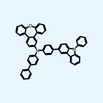 c1ccc(-c2ccc(N(c3ccc(-c4ccc5c(c4)c4ccccc4n5-c4ccccc4)cc3)c3ccc4c(c3)-c3ccccc3Oc3ccccc3-4)cc2)cc1